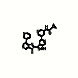 O=C(Nc1cncc(-c2cc3c(-c4nc5c(-c6cccnc6)cncc5[nH]4)n[nH]c3cn2)c1)C1CC1